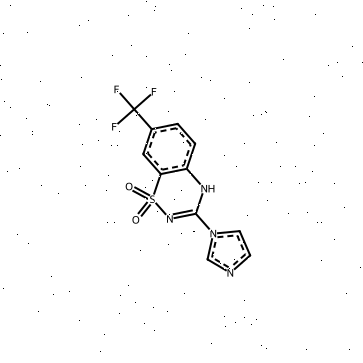 O=S1(=O)N=C(n2ccnc2)Nc2ccc(C(F)(F)F)cc21